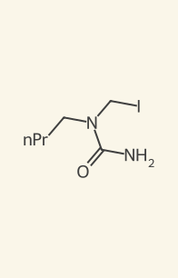 CCCCN(CI)C(N)=O